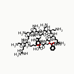 N=C(N)NCCC[C@H](NC(=O)CN)C(=O)NCC(=O)N[C@@H](CCN)C(=O)N[C@@H](CCN)C(=O)N[C@@H](Cc1c[nH]c2ccccc12)C(=O)N[C@@H](CCN)C(=O)N[C@@H](CCN)C(=O)N[C@@H](CCCCN)C(=O)N[C@@H](Cc1c[nH]c2ccccc12)C(=O)N[C@@H](CCCCN)C(=O)N[C@@H](CCCCN)C(=O)O